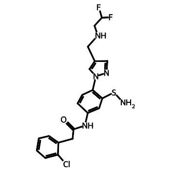 NSc1cc(NC(=O)Cc2ccccc2Cl)ccc1-n1cc(CNCC(F)F)cn1